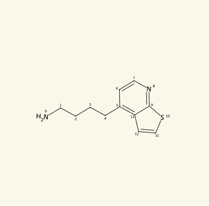 NCCCCc1ccnc2sccc12